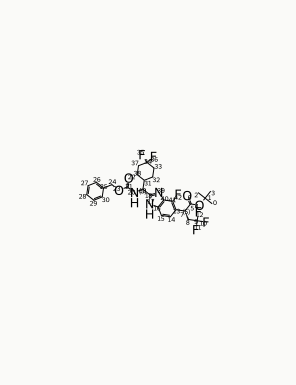 CC(C)(C)OC(=O)[C@@H](CC(F)(F)F)c1ccc2[nH]c([C@@H](NC(=O)OCc3ccccc3)C3CCC(F)(F)CC3)nc2c1F